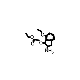 CCOC(=O)COC1c2c(cccc2OCC)CC1N